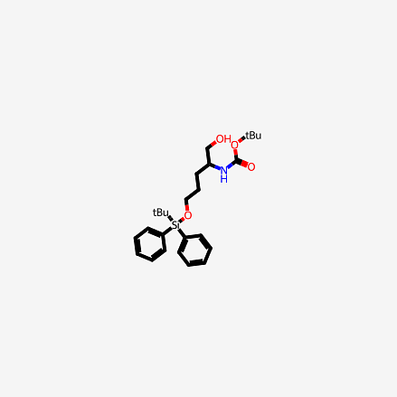 CC(C)(C)OC(=O)NC(CO)CCCO[Si](c1ccccc1)(c1ccccc1)C(C)(C)C